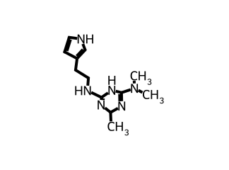 CC1N=C(NCCc2cc[nH]c2)NC(N(C)C)=N1